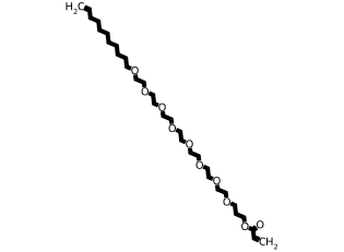 C=CCCCCCCCCCOCCOCCOCCOCCOCCOCCOCCOCCCOC(=O)C=C